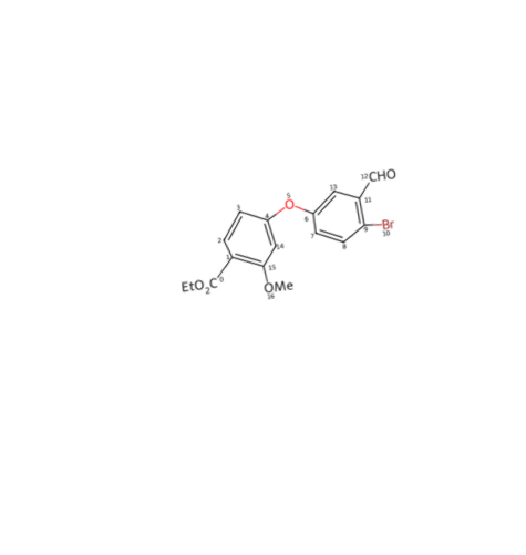 CCOC(=O)c1ccc(Oc2ccc(Br)c(C=O)c2)cc1OC